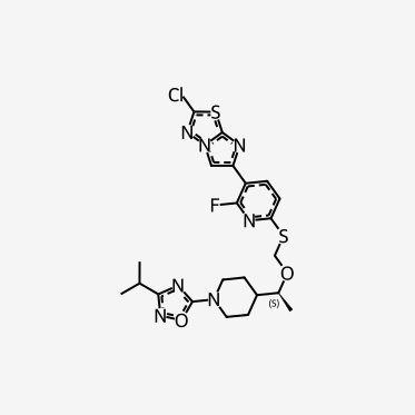 CC(C)c1noc(N2CCC([C@H](C)OCSc3ccc(-c4cn5nc(Cl)sc5n4)c(F)n3)CC2)n1